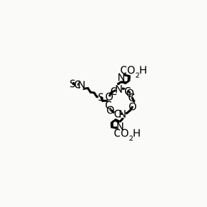 O=C(O)c1cccc(CN2CCOCCOCCN(Cc3cccc(C(=O)O)n3)CCOC(CSCCCCCN=C=S)COCC2)n1